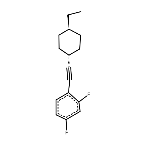 CC[C@H]1CC[C@H](C#Cc2ccc(F)cc2F)CC1